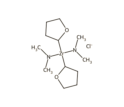 C[N](C)[Zr]([CH]1CCCO1)([CH]1CCCO1)[N](C)C.[Cl-]